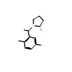 CC[C@@H]1CCCN1C(O)c1cc(N)ccc1Cl